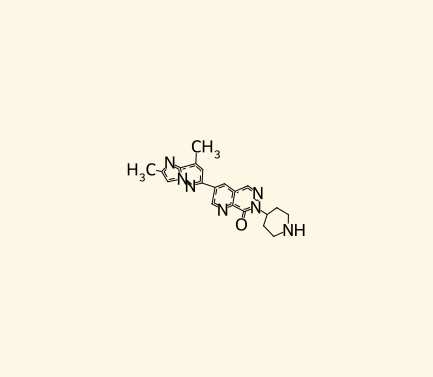 Cc1cn2nc(-c3cnc4c(=O)n(C5CCNCC5)ncc4c3)cc(C)c2n1